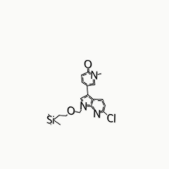 Cn1cc(-c2cn(COCC[Si](C)(C)C)c3nc(Cl)ccc23)ccc1=O